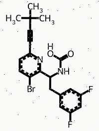 CC(C)(C)C#Cc1ccc(Br)c(C(Cc2cc(F)cc(F)c2)NC(=O)O)n1